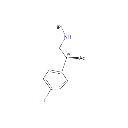 CC(=O)[C@H](CNC(C)C)c1ccc(I)cc1